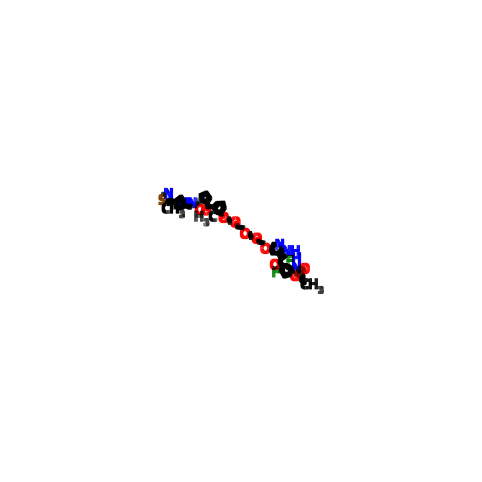 CCCS(=O)(=O)Nc1ccc(F)c(C(=O)c2c[nH]c3ncc(OCCOCCOCCOCCOc4cccc(C(=O)C5CCC[C@H]5C(=O)NCc5ccc(-c6ncsc6C)cc5)c4C)cc23)c1F